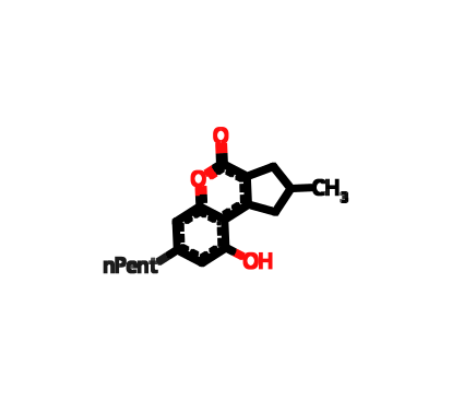 CCCCCc1cc(O)c2c3c(c(=O)oc2c1)CC(C)C3